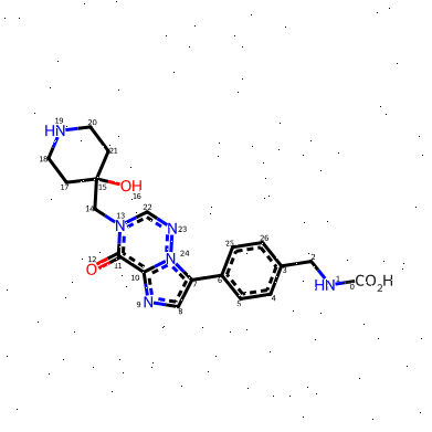 O=C(O)NCc1ccc(-c2cnc3c(=O)n(CC4(O)CCNCC4)cnn23)cc1